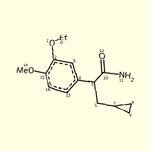 CCOc1cc(C(CC2CC2)C(N)=O)ccc1OC